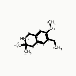 CCc1cc2c(cc1OC)CNC(C)(C)C2